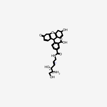 N[C@@H](CO)[C@H](O)/C=C/CNC(=O)c1ccc(C2C3=C(CC(=O)C=C3)OC3=C2C=CC(O)C3)c(C(=O)O)c1